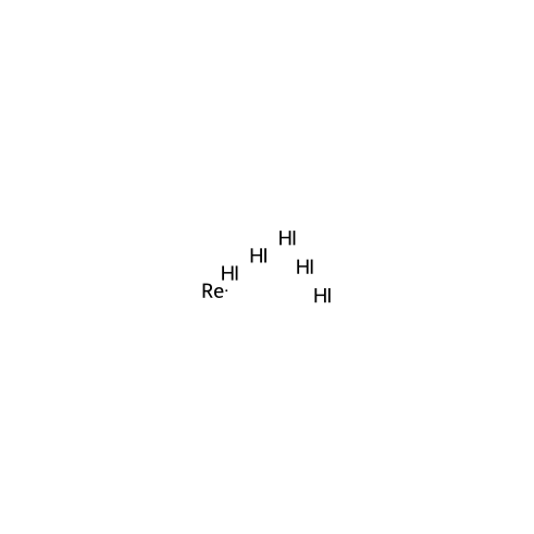 I.I.I.I.I.[Re]